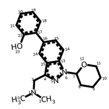 CN(C)Cc1nn(C2CCCCO2)c2ccc(-c3ccccc3O)cc12